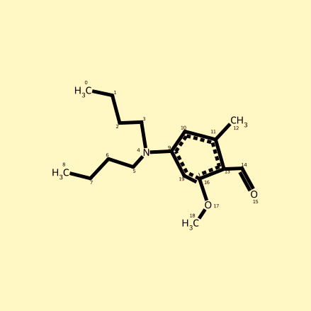 CCCCN(CCCC)c1cc(C)c(C=O)c(OC)c1